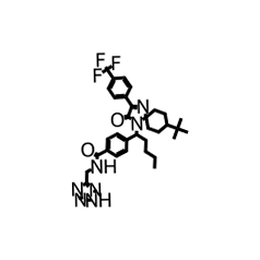 CCCCC(c1ccc(C(=O)NCc2nn[nH]n2)cc1)N1C(=O)C(c2ccc(C(F)(F)F)cc2)=NC12CCC(C(C)(C)C)CC2